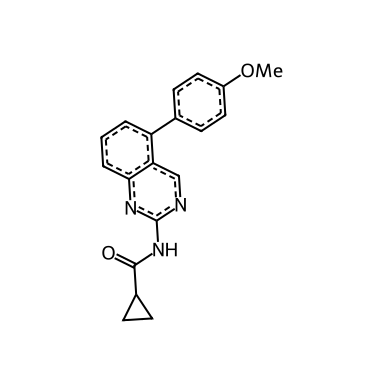 COc1ccc(-c2cccc3nc(NC(=O)C4CC4)ncc23)cc1